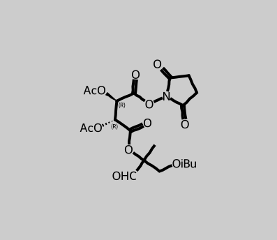 CC(=O)O[C@@H](C(=O)ON1C(=O)CCC1=O)[C@@H](OC(C)=O)C(=O)OC(C)(C=O)COCC(C)C